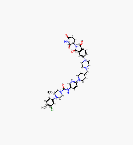 C[C@@H]1CN(C(=O)Nc2ccc(N3CCC(CN4CCN(c5ccc6c(c5)C(=O)N(C5CCC(=O)NC5=O)C6=O)CC4)CC3)nc2)CCN1c1ccc(C#N)c(Cl)c1